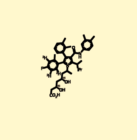 [2H]c1c([2H])c(-c2c(-c3cccc(C)c3C)c(C(=O)Nc3ccc(C)c(C)c3)c(C(C)C(C)C)n2C(C)C[C@@H](O)C[C@@H](O)CC(=O)O)c(C)c([2H])c1F